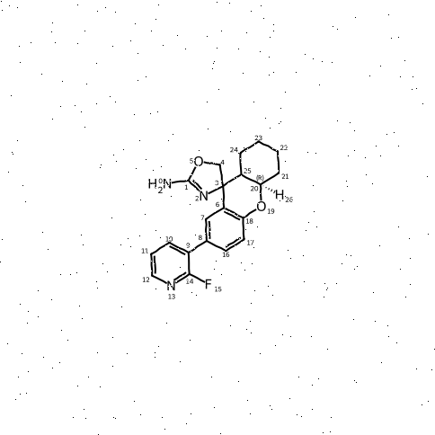 NC1=NC2(CO1)c1cc(-c3cccnc3F)ccc1O[C@@H]1CCCCC12